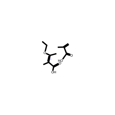 C=C(C)C(=O)O.CCO/C(C)=C(\C)C(=O)O